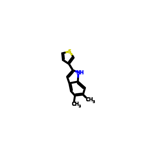 Cc1cc2cc(-c3ccsc3)[nH]c2cc1C